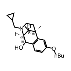 CCCCOc1ccc2c(c1)[C@]1(C)CCN(CC3CC3)[C@H]([C@@H]2O)[C@@H]1C